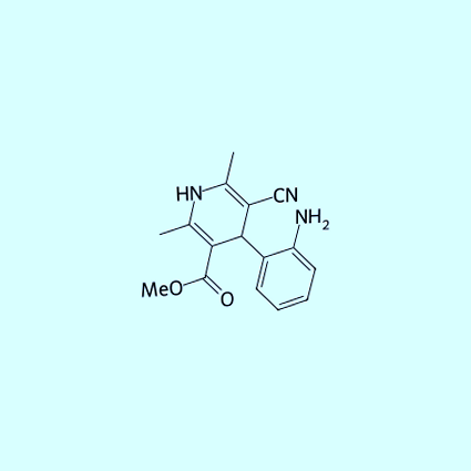 COC(=O)C1=C(C)NC(C)=C(C#N)C1c1ccccc1N